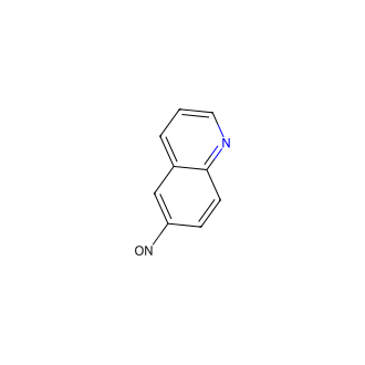 O=Nc1ccc2ncccc2c1